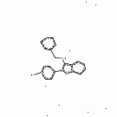 Clc1ccc(-n2nc3ccccc3c2NCc2ccccc2)cc1